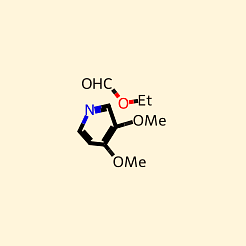 CCOC=O.COc1ccncc1OC